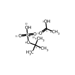 CC(=O)O.CC(C)(C)OS(=O)(=O)O